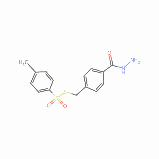 Cc1ccc(S(=O)(=O)SCc2ccc(C(=O)NN)cc2)cc1